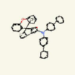 CC12CC=CC=C1Oc1ccccc1C21c2ccccc2-c2cc(N(c3ccc(-c4ccccc4)cc3)c3ccc(-c4ccccc4)cc3)ccc21